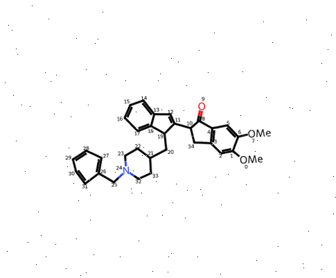 COc1cc2c(cc1OC)C(=O)C(C1=Cc3ccccc3C1CC1CCN(Cc3ccccc3)CC1)C2